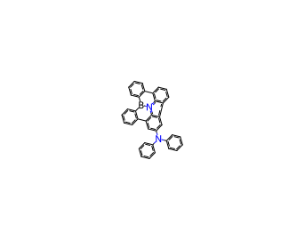 c1ccc(N(c2ccccc2)c2cc3c4c(c2)c2cccc5c2n4B(c2ccccc2-5)c2ccccc2-3)cc1